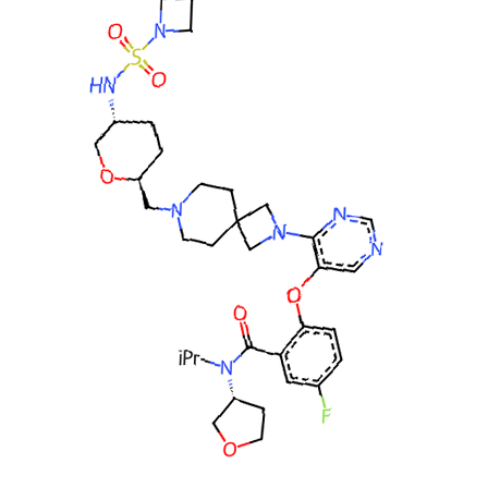 CC(C)N(C(=O)c1cc(F)ccc1Oc1cncnc1N1CC2(CCN(C[C@@H]3CC[C@@H](NS(=O)(=O)N4CCC4)CO3)CC2)C1)[C@@H]1CCOC1